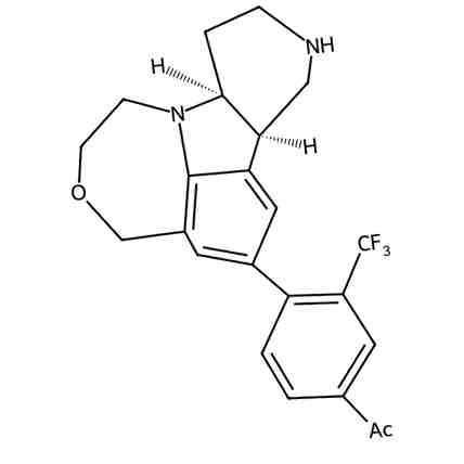 CC(=O)c1ccc(-c2cc3c4c(c2)[C@@H]2CNCC[C@@H]2N4CCOC3)c(C(F)(F)F)c1